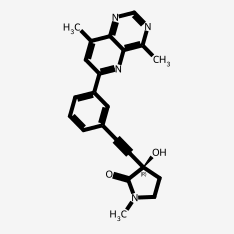 Cc1cc(-c2cccc(C#C[C@]3(O)CCN(C)C3=O)c2)nc2c(C)ncnc12